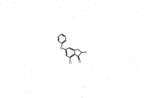 CC1Cc2cc(Oc3ccccc3)cc(Cl)c2C1=O